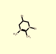 CCC1CN(CC)C(C)=[N+](C)C1